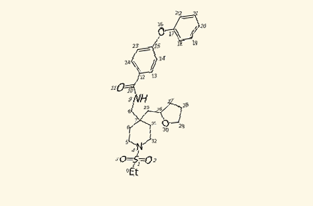 CCS(=O)(=O)N1CCC(CNC(=O)c2ccc(Oc3ccccc3)cc2)(CC2CCCO2)CC1